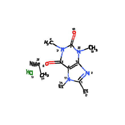 CCc1nc2c(c(=O)n(C)c(=O)n2C)n1CC.CNC.Cl